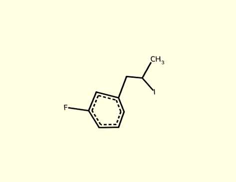 CC(I)Cc1cccc(F)c1